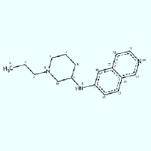 CCCN1CCCC(Nc2ccc3cnccc3c2)C1